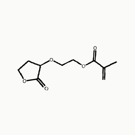 C=C(C)C(=O)OCCOC1CCOC1=O